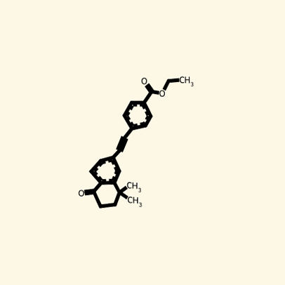 CCOC(=O)c1ccc(C#Cc2ccc3c(c2)C(C)(C)CCC3=O)cc1